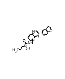 C=CCN(S)C(=O)Nc1ccc2ncc(-c3ccc4c(c3)CCO4)nc2n1